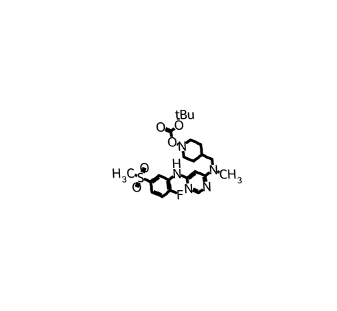 CN(CC1CCN(OC(=O)OC(C)(C)C)CC1)c1cc(Nc2cc(S(C)(=O)=O)ccc2F)ncn1